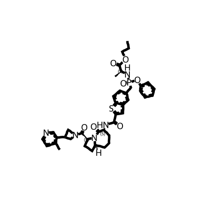 CCCOC(=O)[C@H](C)NP(=O)(Cc1ccc2sc(C(=O)N[C@H]3CCC[C@H]4CC[C@@H](C(=O)N5CC(c6cnccc6C)C5)N4C3=O)cc2c1)Oc1ccccc1